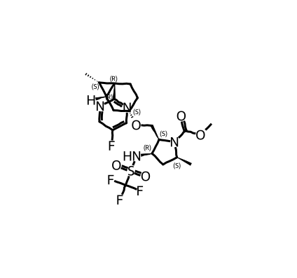 COC(=O)N1[C@H](CO[C@H]2CC[C@]3(c4ncc(F)cn4)[C@H](C2)[C@@H]3C)[C@H](NS(=O)(=O)C(F)(F)F)C[C@@H]1C